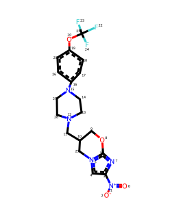 O=[N+]([O-])c1cn2c(n1)OCC(CN1CCN(c3ccc(OC(F)(F)F)cc3)CC1)C2